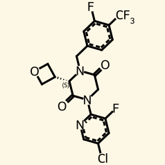 O=C1[C@H](C2COC2)N(Cc2ccc(C(F)(F)F)c(F)c2)C(=O)CN1c1ncc(Cl)cc1F